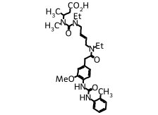 CCN(C/C=C/CN(CC)C(=O)N(C)C(C)CC(=O)O)C(=O)Cc1ccc(NC(=O)Nc2ccccc2C)c(OC)c1